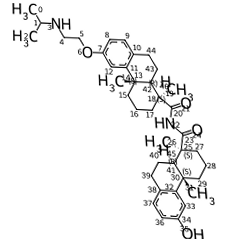 CC(C)NCCOc1ccc2c(c1)[C@@]1(C)CCC[C@](C)(C(=O)NC(=O)[C@@]3(C)CCC[C@]4(C)c5cc(O)ccc5CC[C@@H]34)[C@@H]1CC2